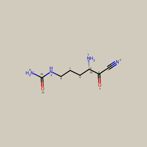 N#CC(=O)[C@@H](N)CCCNC(N)=O